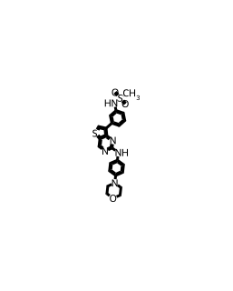 CS(=O)(=O)Nc1cccc(-c2csc3cnc(Nc4ccc(N5CCOCC5)cc4)nc23)c1